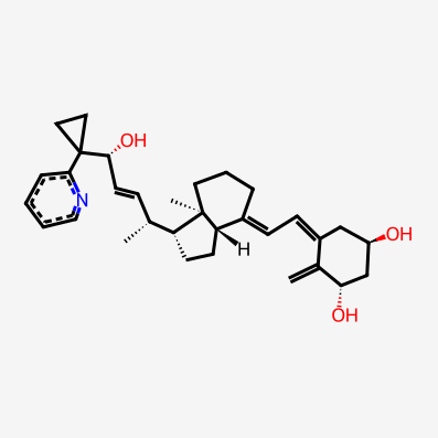 C=C1/C(=C\C=C2/CCC[C@]3(C)[C@@H]([C@H](C)/C=C/[C@@H](O)C4(c5ccccn5)CC4)CC[C@@H]23)C[C@@H](O)C[C@@H]1O